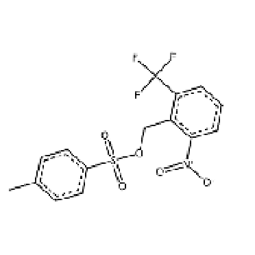 Cc1ccc(S(=O)(=O)OCc2c([N+](=O)[O-])cccc2C(F)(F)F)cc1